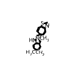 CC1(C)C=Cc2c[n+](CC3(C)C=Cc4ncsc4C=C3)[nH]c2C=C1